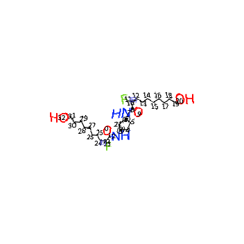 O=C(N[C@@H]1CC[C@H](NC(=O)/C(F)=C\CCCCCCCO)C1)/C(F)=C\CCCCCCCO